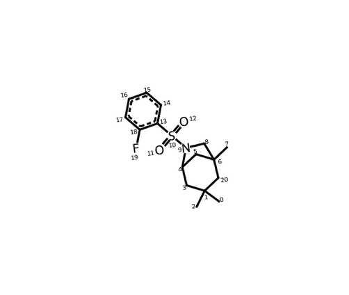 CC1(C)CC2CC(C)(CN2S(=O)(=O)c2ccccc2F)C1